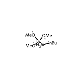 CCCC[SiH2]S(OC)(OC)OC